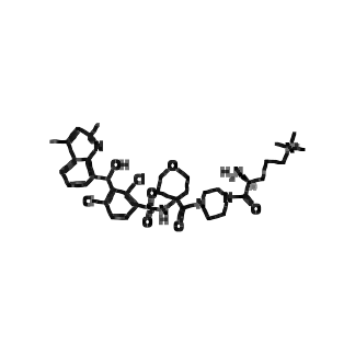 Cc1cc(C)c2cccc(C(O)c3c(Cl)ccc(S(=O)(=O)NC4(C(=O)N5CCN(C(=O)[C@@H](N)CCC[N+](C)(C)C)CC5)CCOCC4)c3Cl)c2n1